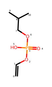 C=COP(=O)(O)OCC(C)C